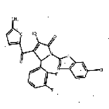 Cc1ccc(C(=O)C2=C(O)C(=O)N(c3nc4ccc(Cl)cc4s3)C2c2cccc(F)c2F)o1